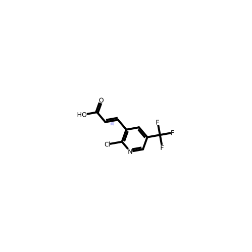 O=C(O)/C=C/c1cc(C(F)(F)F)cnc1Cl